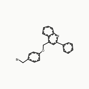 BrCc1ccc(OCc2cc(-c3ccccc3)nc3ccccc23)cc1